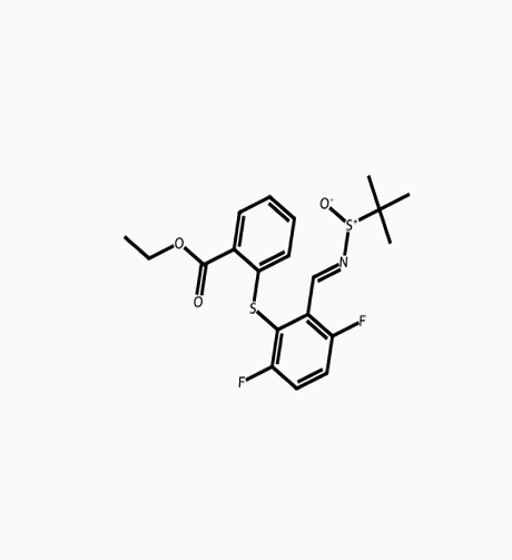 CCOC(=O)c1ccccc1Sc1c(F)ccc(F)c1C=N[S+]([O-])C(C)(C)C